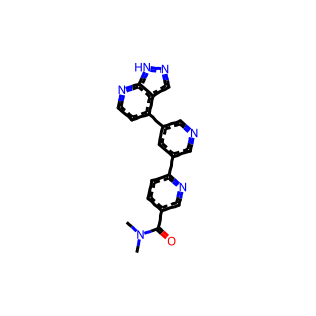 CN(C)C(=O)c1ccc(-c2cncc(-c3ccnc4[nH]ncc34)c2)nc1